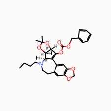 CCCCN1CCc2cc3c(cc2C2=C(OC(=O)OCc4ccccc4)[C@H]4OC(C)(C)O[C@H]4[C@@H]21)OCO3